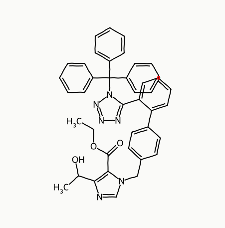 CCOC(=O)c1c(C(C)O)ncn1Cc1ccc(-c2ccccc2-c2nnnn2C(c2ccccc2)(c2ccccc2)c2ccccc2)cc1